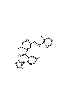 Cc1ccc(-n2nccn2)c(C(=O)N2C[C@H](COc3ncccc3C)OC[C@@H]2C)c1